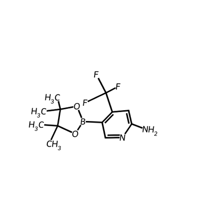 CC1(C)OB(c2cnc(N)cc2C(F)(F)F)OC1(C)C